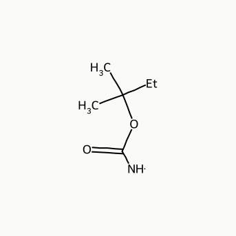 CCC(C)(C)OC([NH])=O